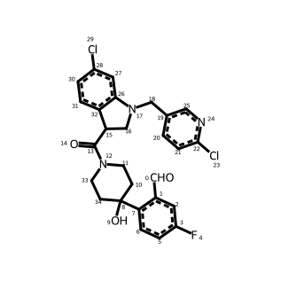 O=Cc1cc(F)ccc1C1(O)CCN(C(=O)C2CN(Cc3ccc(Cl)nc3)c3cc(Cl)ccc32)CC1